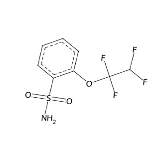 NS(=O)(=O)c1ccccc1OC(F)(F)C(F)F